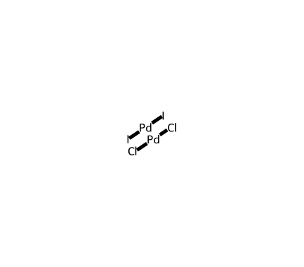 [Cl][Pd][Cl].[I][Pd][I]